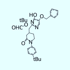 CC(C)(C)OC=O.CC(C)(C)c1ccc(N2CCC(Cc3ncc(OCc4ccccc4)c(O)n3)CC2=O)cc1